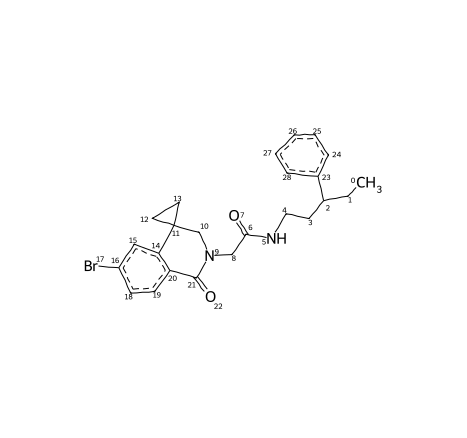 CCC(CCNC(=O)CN1CC2(CC2)c2cc(Br)ccc2C1=O)c1ccccc1